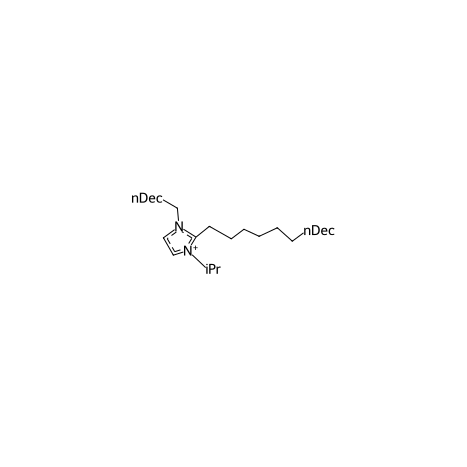 CCCCCCCCCCCCCCCCc1n(CCCCCCCCCCC)cc[n+]1C(C)C